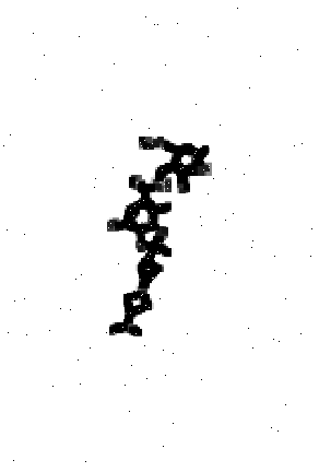 CSc1cc(C)[nH]c(=O)c1CNC(=O)c1cc(Cl)c2c(c1C)OC(C)(C1CC(N3CC(N(C)C)C3)C1)O2